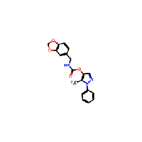 O=C(NCc1ccc2c(c1)OCO2)Oc1cnn(-c2ccccc2)c1C(F)(F)F